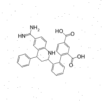 N=C(N)c1ccc2c(c1)C(c1ccccc1)CC(c1ccccc1-c1ccc(C(=O)O)cc1C(=O)O)N2